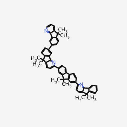 CC1(C)c2cc(-c3ccc4c(n3)-c3ccccc3C4(C)C)ccc2-c2ccc(-c3ccc4c(n3)-c3cc(-c5ccc6c(c5)-c5ncccc5C6(C)C)ccc3C4(C)C)cc21